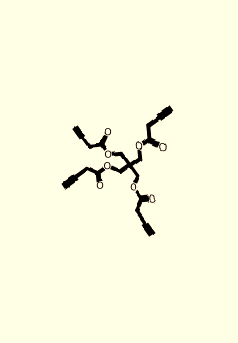 C#CCC(=O)OCC(COC(=O)CC#C)(COC(=O)CC#C)COC(=O)CC#C